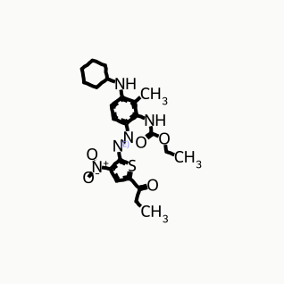 CCOC(=O)Nc1c(/N=N/c2sc(C(=O)CC)cc2[N+](=O)[O-])ccc(NC2CCCCC2)c1C